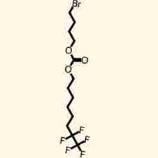 O=C(OCCCCBr)OCCCCCCC(F)(F)C(F)(F)F